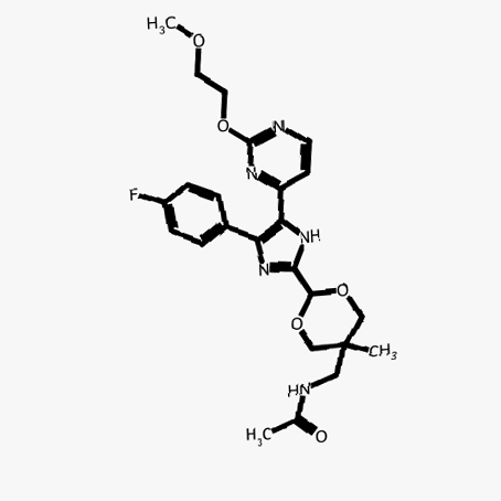 COCCOc1nccc(-c2[nH]c(C3OCC(C)(CNC(C)=O)CO3)nc2-c2ccc(F)cc2)n1